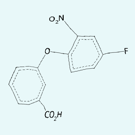 O=C(O)c1cccc(Oc2ccc(F)cc2[N+](=O)[O-])c1